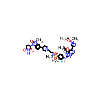 CCO[C@H](C)n1cc(-c2ncn3nc(Nc4ccc(S(=O)(=O)N(C)CCCN5CCC(c6ccc7c(c6)n(C)c(=O)n7[C@@H]6CCC(=O)NC6=O)CC5)c(C)c4F)nc3c2OC(C)C)cn1